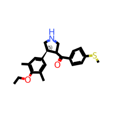 CCOc1c(C)cc([C@H]2CNCC2C(=O)c2ccc(SC)cc2)cc1C